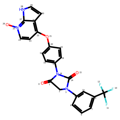 O=C1CN(c2cccc(C(F)(F)F)c2)C(=O)N1c1ccc(Oc2cc[n+]([O-])c3[nH]ccc23)cc1